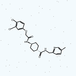 Cc1ccc(CNC(=O)[C@H]2CC[C@H](NC(=O)COc3ccc(Cl)c(Cl)c3)CC2)nc1